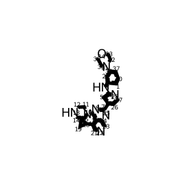 c1cc(Nc2cc(-c3nc(N4CCNCC4)c4c(C5CC5)cncc4n3)ccn2)cc(N2CCOCC2)c1